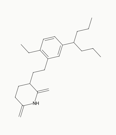 C=C1CCC(CCc2cc(C(CCC)CCC)ccc2CC)C(=C)N1